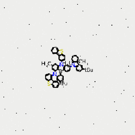 Cc1cc2c3c(c1)N(c1cccc4sc5ccccc5c14)c1cc(C(C)(C)C)ccc1B3c1ccc(N3c4ccc(C(C)(C)C)cc4C4(C)CCCCC34C)cc1N2c1ccc2sc3ccccc3c2c1